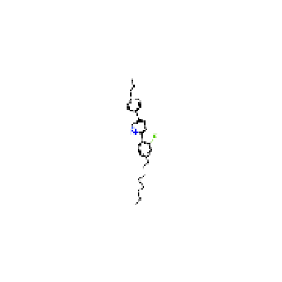 CCCCCCCCc1ccc(-c2ccc(-c3ccc(CCC)cc3)cn2)c(F)c1